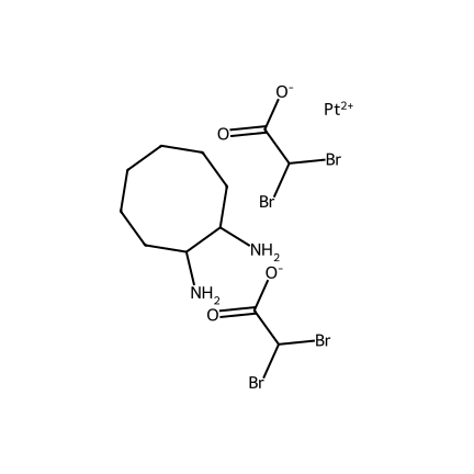 NC1CCCCCCC1N.O=C([O-])C(Br)Br.O=C([O-])C(Br)Br.[Pt+2]